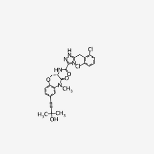 CN1C(=O)C(NC(=O)c2n[nH]c(Cc3c(Cl)cccc3Cl)n2)COc2ccc(C#CC(C)(C)O)cc21